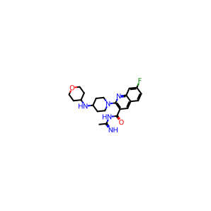 CC(=N)NC(=O)c1cc2ccc(F)cc2nc1N1CCC(NC2CCOCC2)CC1